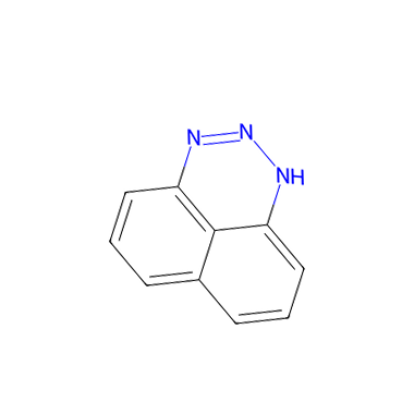 c1cc2c3c(cccc3c1)NN=N2